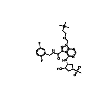 C[Si](C)(C)CCOCn1nc(C(=O)NCc2cc(F)ccc2F)c2c(N[C@@H]3C[C@@H](S(C)(=O)=O)C[C@H]3O)ncnc21